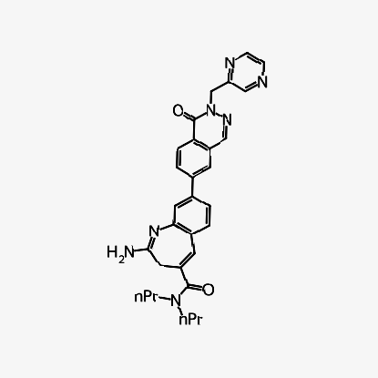 CCCN(CCC)C(=O)C1=Cc2ccc(-c3ccc4c(=O)n(Cc5cnccn5)ncc4c3)cc2N=C(N)C1